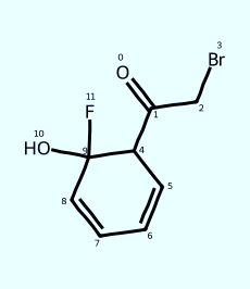 O=C(CBr)C1C=CC=CC1(O)F